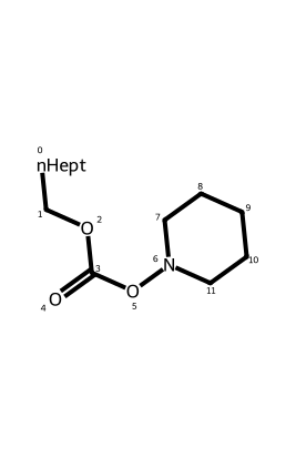 CCCCCCCCOC(=O)ON1CCCCC1